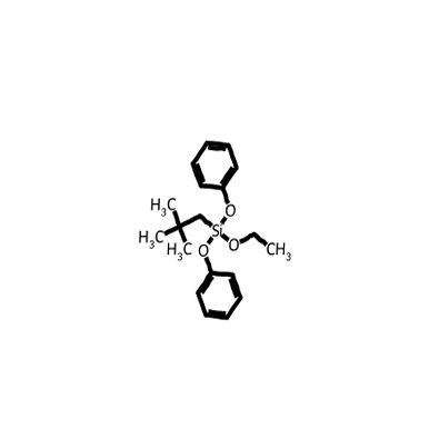 CCO[Si](CC(C)(C)C)(Oc1ccccc1)Oc1ccccc1